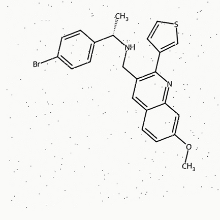 COc1ccc2cc(CN[C@@H](C)c3ccc(Br)cc3)c(-c3ccsc3)nc2c1